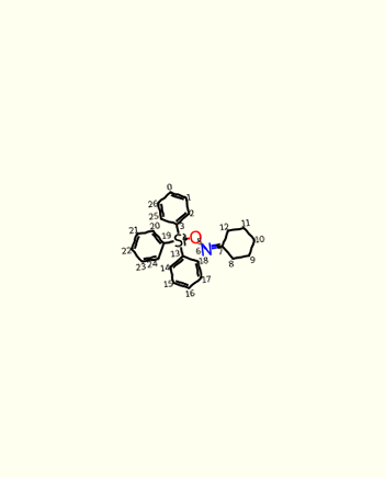 c1ccc([Si](ON=C2CCCCC2)(c2ccccc2)c2ccccc2)cc1